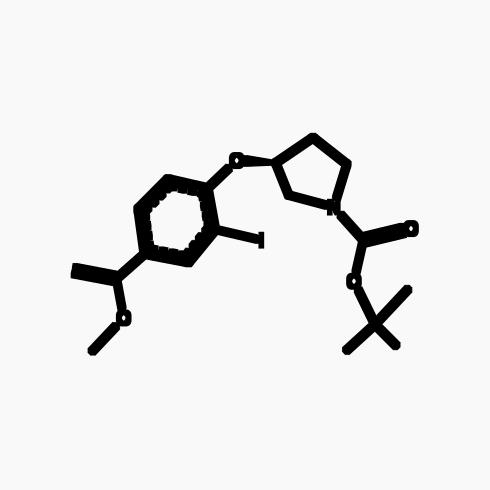 C=C(OC)c1ccc(O[C@H]2CCN(C(=O)OC(C)(C)C)C2)c(I)c1